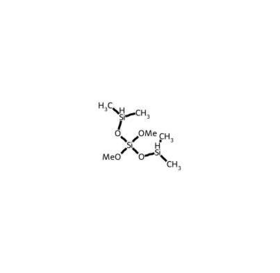 CO[Si](OC)(O[SiH](C)C)O[SiH](C)C